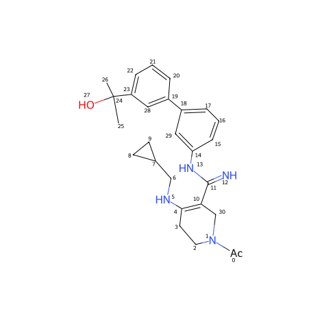 CC(=O)N1CCC(NCC2CC2)=C(C(=N)Nc2cccc(-c3cccc(C(C)(C)O)c3)c2)C1